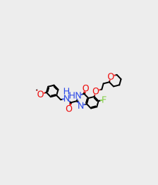 COc1cccc(CNC(=O)c2nc3ccc(F)c(OCCC4CCCCO4)c3c(=O)[nH]2)c1